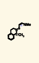 CN/C=C\SN1CCc2ccccc2[C@H]1C